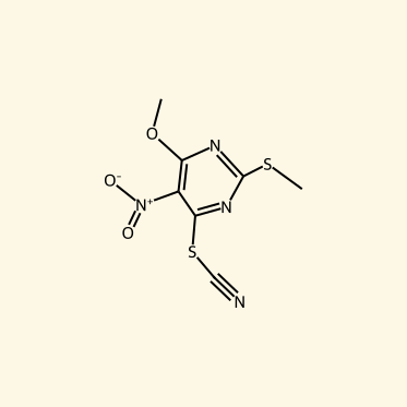 COc1nc(SC)nc(SC#N)c1[N+](=O)[O-]